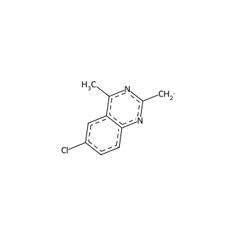 [CH2]c1nc(C)c2cc(Cl)ccc2n1